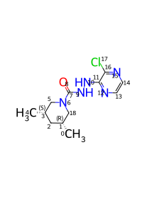 C[C@@H]1C[C@H](C)CN(C(=O)NNc2nccnc2Cl)C1